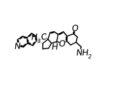 C[C@]12C=CC3=CC4=C(CC(CN)CC4=O)O[C@H]3C1CC[C@@H]2c1ccc2ccncc2c1